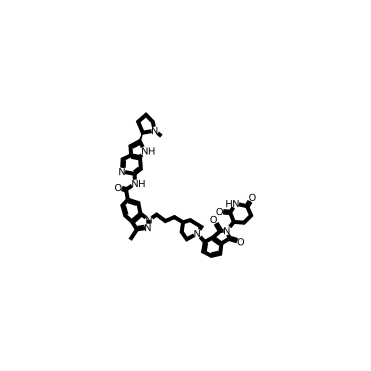 Cc1nn(CCCC2CCN(c3cccc4c3C(=O)N(C3CCC(=O)NC3=O)C4=O)CC2)c2cc(C(=O)Nc3cc4[nH]c([C@H]5CCCN5C)cc4cn3)ccc12